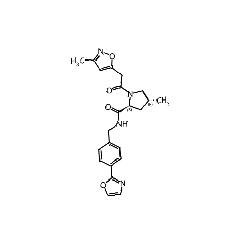 Cc1cc(CC(=O)N2C[C@H](C)C[C@H]2C(=O)NCc2ccc(-c3ncco3)cc2)on1